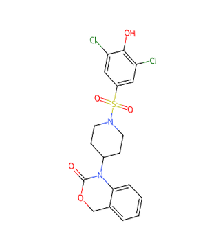 O=C1OCc2ccccc2N1C1CCN(S(=O)(=O)c2cc(Cl)c(O)c(Cl)c2)CC1